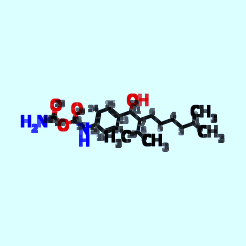 CC(C)CCCCC(C(C)C)C(O)c1ccc(NC(=O)OC(N)=O)cc1